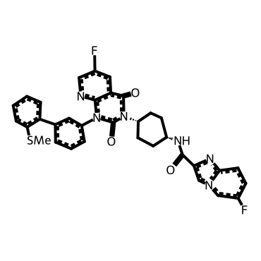 CSc1ccccc1-c1cccc(-n2c(=O)n([C@H]3CC[C@@H](NC(=O)c4cn5cc(F)ccc5n4)CC3)c(=O)c3cc(F)cnc32)c1